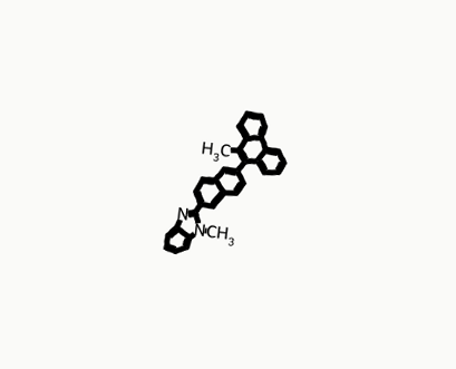 Cc1c(-c2ccc3cc(-c4nc5ccccc5n4C)ccc3c2)c2ccccc2c2ccccc12